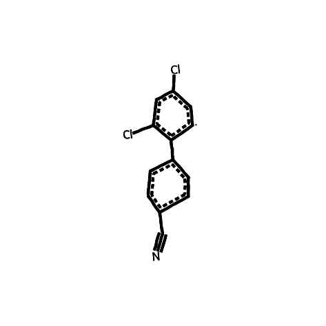 N#Cc1ccc(-c2[c]cc(Cl)cc2Cl)cc1